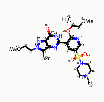 CCCc1c2nc(-c3cc(S(=O)(=O)N4CCN(CC)CC4)cnc3O[C@H](C)COC)[nH]c(=O)c2nn1CCOC